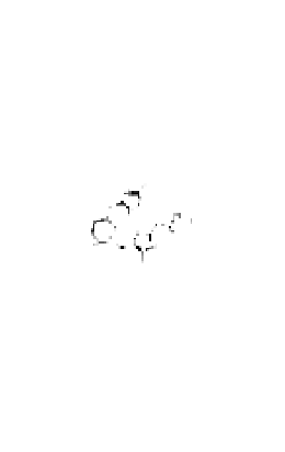 Cc1nc(CC2CC[C@H](C)N(Cc3sc(CC(N)=O)nc3F)C2)no1